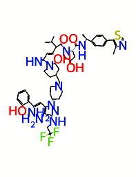 Cc1ncsc1-c1ccc([C@H](C)NC(=O)[C@@H]2C[C@@H](O)CN2C(=O)C(/C(O)=C/C(=N)N2CCC(CN3CCC(n4nc(NCC(F)(F)F)c(N)c4/C=C(\N)c4ccccc4O)CC3)CC2)C(C)C)cc1